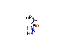 CCC/C(C)=C/C(=O)NN=N